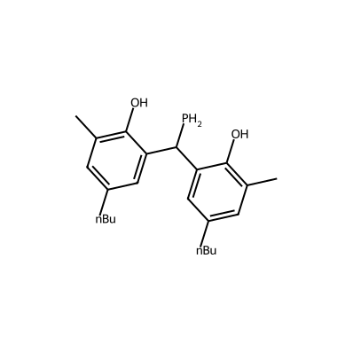 CCCCc1cc(C)c(O)c(C(P)c2cc(CCCC)cc(C)c2O)c1